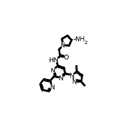 Cc1cc(C)n(-c2cc(NC(=O)CN3CC[C@H](N)C3)nc(-c3ccccn3)n2)n1